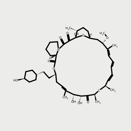 CO[C@H]1C[C@@H]2CC[C@@H](C)[C@@](O)(O2)C(=O)C(=O)N2CCCC[C@H]2C(=O)O[C@H](CC[C@H]2CC[C@H](O)CC2)C/C=C(\C)[C@@H](O)[C@@H](O)C(=O)[C@H](C)C[C@H](C)/C=C/C=C/C=C/1C